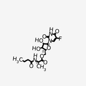 CCCC(=O)N[C@@H](C)C(=O)OC[C@@H]1O[C@H](n2cc(F)c(=O)[nH]c2=O)C(O)C1O